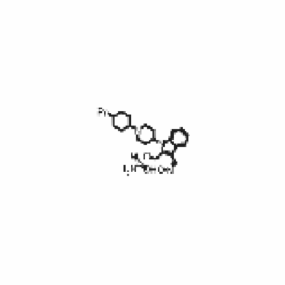 CC(C)C1CCC(N2CCC(n3c(COS(N)(=O)=O)c(/C=N\O)c4ccccc43)CC2)CC1